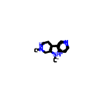 [CH2-][NH+]1CCC2=C(C1)[NH+]([CH2-])c1ccncc12